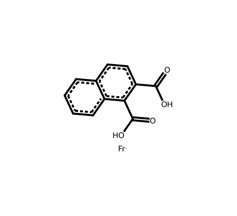 O=C(O)c1ccc2ccccc2c1C(=O)O.[Fr]